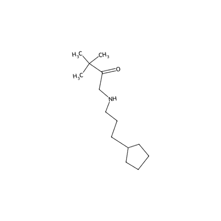 CC(C)(C)C(=O)CNCCCC1CCCC1